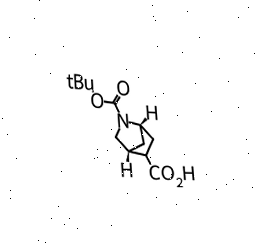 CC(C)(C)OC(=O)N1C[C@@H]2C[C@H]1CC2C(=O)O